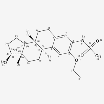 CCOc1cc2c(cc1NS(=O)(=O)O)CC[C@@H]1[C@@H]2CC[C@]2(C)[C@@H](O)CC[C@@H]12